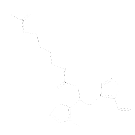 C=Cc1occc1CC(OC(=O)NCCCCCC(=O)O)c1occc1C